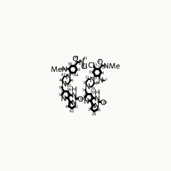 CNC(=O)c1cc(N(C)C)c(N2CCN(Cc3cnc4c(c3)[nH]c(=O)n3cccc43)CC2)cc1Cl.CNc1cc(C(=O)N(C)Cl)ccc1N1CCN(Cc2cnc3c(c2)[nH]c(=O)n2cccc32)CC1